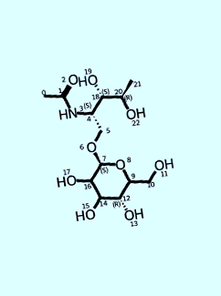 CC(=O)N[C@@H](CO[C@H]1OC(CO)[C@H](O)C(O)C1O)[C@H](O)[C@@H](C)O